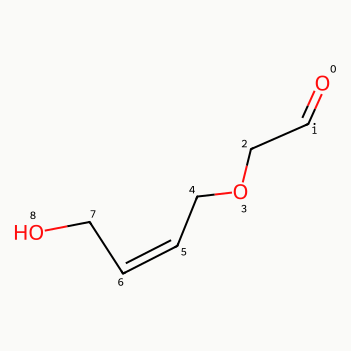 O=[C]COC/C=C\CO